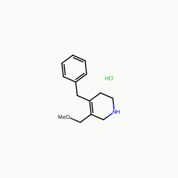 COCC1=C(Cc2ccccc2)CCNC1.Cl